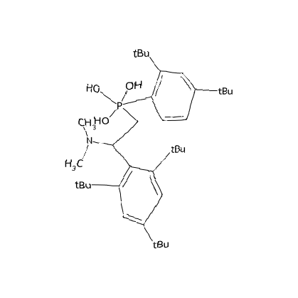 CN(C)C(CP(O)(O)(O)c1ccc(C(C)(C)C)cc1C(C)(C)C)c1c(C(C)(C)C)cc(C(C)(C)C)cc1C(C)(C)C